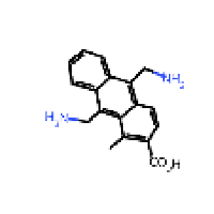 Cc1c(C(=O)O)ccc2c(CN)c3ccccc3c(CN)c12